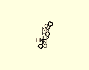 CNC(=O)N(Cc1ccccc1)C1CCN(Cc2nc(-c3ccccc3OC)[nH]c2C)CC1